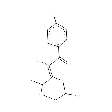 CCC1COC(C)/C(=C(\C#N)C(=O)c2ccc(Cl)cc2)N1